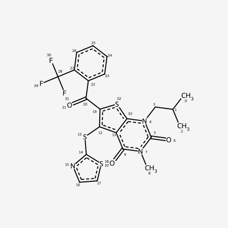 CC(C)Cn1c(=O)n(C)c(=O)c2c(Sc3nccs3)c(C(=O)c3ccccc3C(F)(F)F)sc21